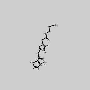 NCCNC(=O)Cn1cc(Cc2c[nH]c3ncsc23)nn1